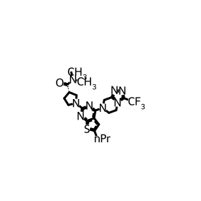 CCCc1cc2c(N3CCn4c(nnc4C(F)(F)F)C3)nc(N3CC[C@H](C(=O)N(C)C)C3)nc2s1